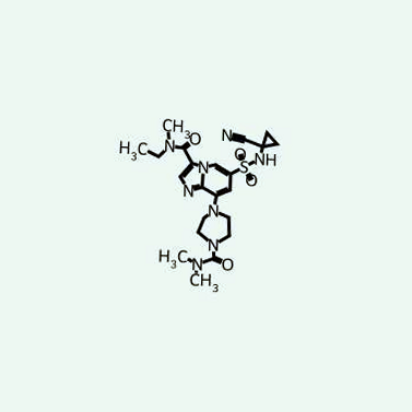 CCN(C)C(=O)c1cnc2c(N3CCN(C(=O)N(C)C)CC3)cc(S(=O)(=O)NC3(C#N)CC3)cn12